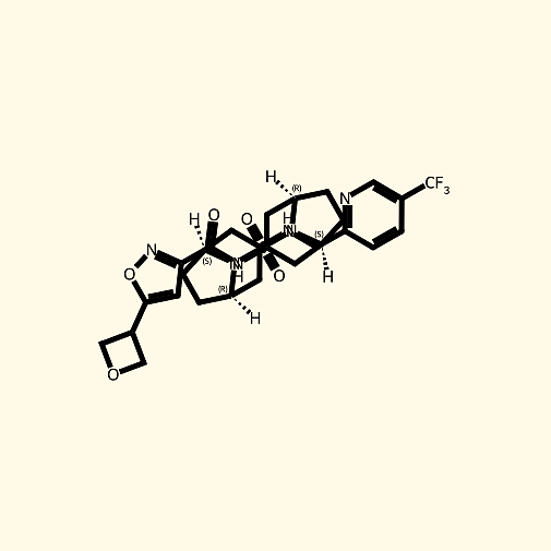 O=C(NC1C[C@H]2CC[C@@H](C1)N2S(=O)(=O)N1[C@@H]2CC[C@H]1CC(NCc1ccc(C(F)(F)F)cn1)C2)c1cc(C2COC2)on1